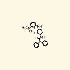 CN(C)c1ccnc(N[C@H]2CC[C@@H](NC(=O)C(c3ccccc3)c3ccccc3)CC2)n1